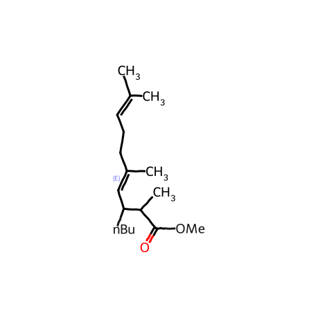 CCCCC(/C=C(\C)CCC=C(C)C)C(C)C(=O)OC